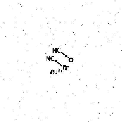 N#C[O-].N#C[O-].[Au+2]